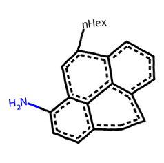 CCCCCCc1cc2c(N)ccc3ccc4cccc1c4c32